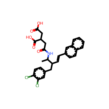 CC(NC(=O)CC(CC(=O)O)C(=O)O)C(/C=C/c1ccc2ccccc2c1)Cc1ccc(Cl)c(Cl)c1